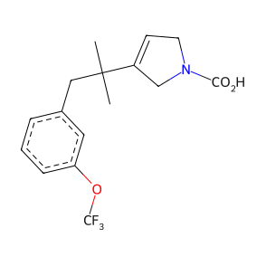 CC(C)(Cc1cccc(OC(F)(F)F)c1)C1=CCN(C(=O)O)C1